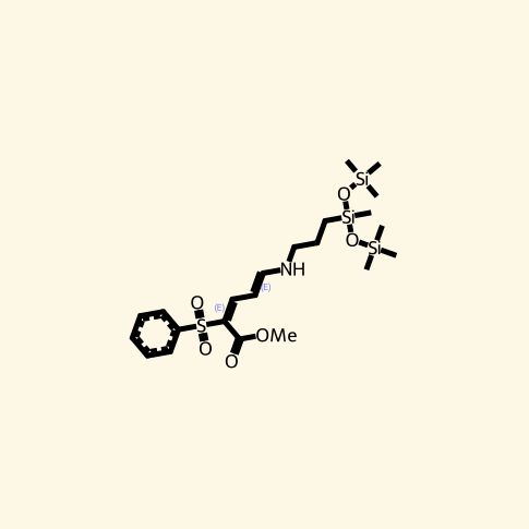 COC(=O)/C(=C\C=C\NCCC[Si](C)(O[Si](C)(C)C)O[Si](C)(C)C)S(=O)(=O)c1ccccc1